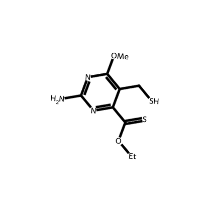 CCOC(=S)c1nc(N)nc(OC)c1CS